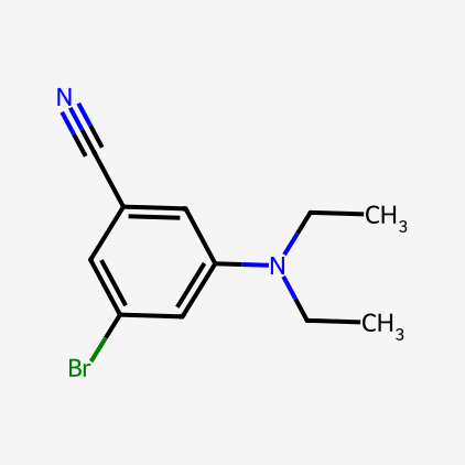 CCN(CC)c1cc(Br)cc(C#N)c1